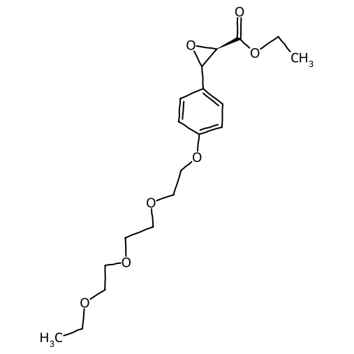 CCOCCOCCOCCOc1ccc(C2O[C@H]2C(=O)OCC)cc1